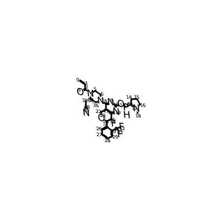 C=CC(=O)N1CCN(c2nc(OP[C@@H]3CCCN3C)nc3c2COC(c2ccccc2C(F)(F)F)C3)C[C@@H]1CC#N